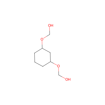 OCOC1CCCC(OCO)C1